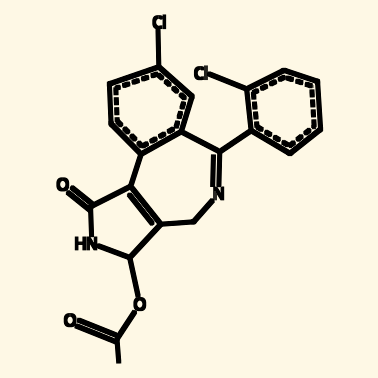 CC(=O)OC1NC(=O)C2=C1CN=C(c1ccccc1Cl)c1cc(Cl)ccc12